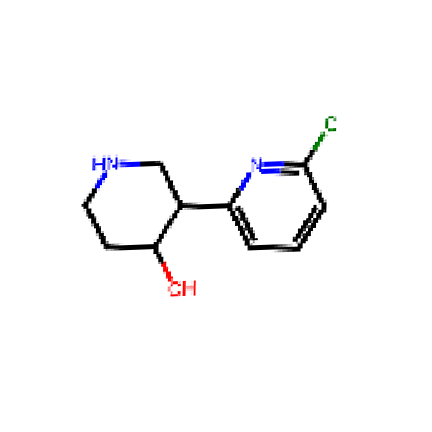 OC1CCNCC1c1cccc(Cl)n1